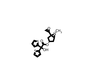 C[N@@]1C2C[C@H](OC(=O)C(O)(c3cccs3)c3cccs3)CC21C1=CO1